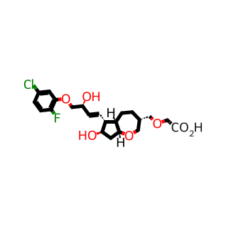 O=C(O)COC[C@H]1CC[C@@H]2[C@@H](/C=C/[C@@H](O)COc3cc(Cl)ccc3F)[C@H](O)C[C@@H]2OC1